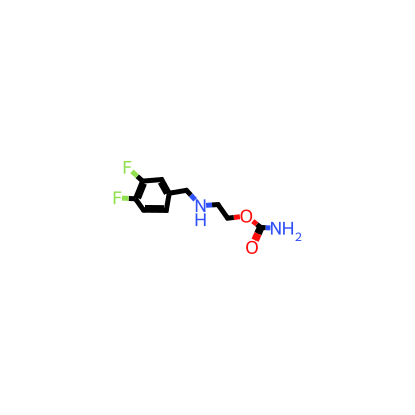 NC(=O)OCCNCc1ccc(F)c(F)c1